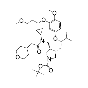 COCCCOc1cc(O[C@@H](C[C@@H]2CN(C(=O)OC(C)(C)C)C[C@H]2CN(C(=O)CC2CCOCC2)C2CC2)C(C)C)ccc1OC